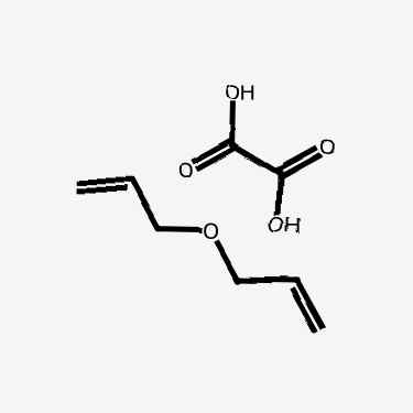 C=CCOCC=C.O=C(O)C(=O)O